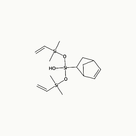 C=C[Si](C)(C)O[Si](O)(O[Si](C)(C)C=C)C1CC2C=CC1C2